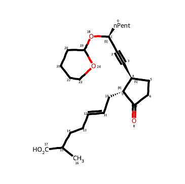 CCCCC[C@@H](C#C[C@H]1CCC(=O)[C@@H]1CC=CCCC(C)C(=O)O)OC1CCCCO1